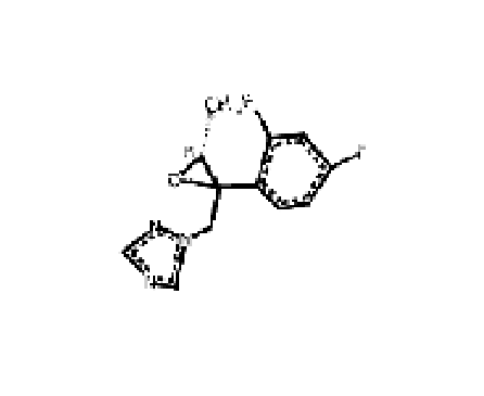 C[C@H]1OC1(Cn1cncn1)c1ccc(F)cc1F